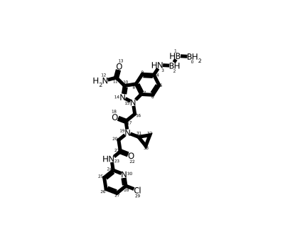 BBBNc1ccc2c(c1)c(C(N)=O)nn2CC(=O)N(CC(=O)Nc1cccc(Cl)n1)C1CC1